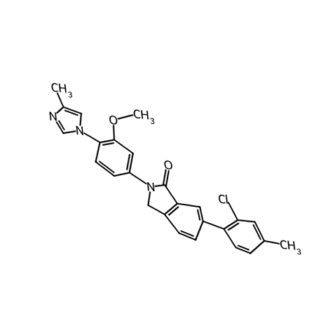 COc1cc(N2Cc3ccc(-c4ccc(C)cc4Cl)cc3C2=O)ccc1-n1cnc(C)c1